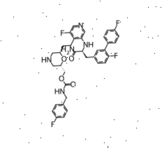 NC(=O)[C@H](Cc1ccc(F)c(-c2ccc(F)cc2)c1)Nc1cncc(F)c1CC[C@@H]1CNC[C@@H](COC(=O)NCc2ccc(F)cc2)O1